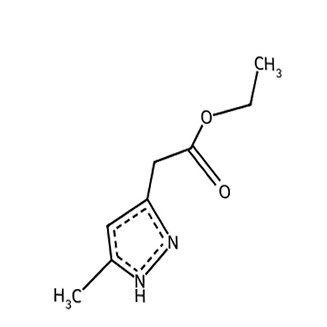 CCOC(=O)Cc1cc(C)[nH]n1